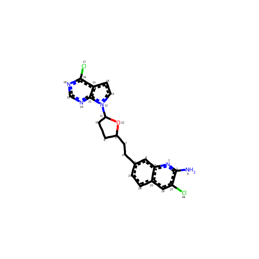 Nc1nc2cc(CCC3CCC(n4ccc5c(Cl)ncnc54)O3)ccc2cc1Cl